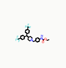 CCOC(=O)Nc1ccc(CN2CCC(=C(c3ccc(C(F)(F)F)cc3)c3ccc(C(F)(F)F)cc3)CC2)cc1